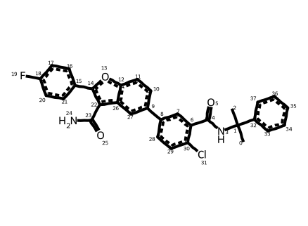 CC(C)(NC(=O)c1cc(-c2ccc3oc(-c4ccc(F)cc4)c(C(N)=O)c3c2)ccc1Cl)c1ccccc1